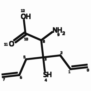 C=CCC(S)(CC=C)C(N)C(=O)O